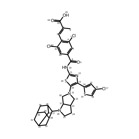 C/C(=C\c1c(Cl)cc(C(=O)Nc2nc(-c3cc(Cl)cs3)c(N3CC4CCN(C5C6CC7CC(C6)CC5C7)C4C3)s2)cc1Cl)C(=O)O